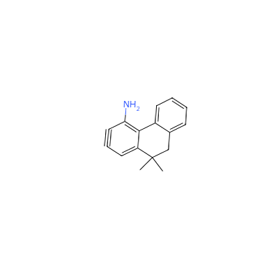 CC1(C)Cc2ccccc2-c2c(N)c#ccc21